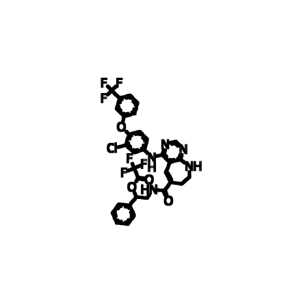 O=C(NCC(OC(=O)C(F)(F)F)c1ccccc1)C1=Cc2c(ncnc2Nc2ccc(Oc3cccc(C(F)(F)F)c3)c(Cl)c2)NCC1